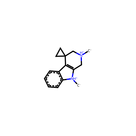 [CH2-][NH+]1CC2=C(c3ccccc3[NH+]2[CH2-])C2(CC2)C1